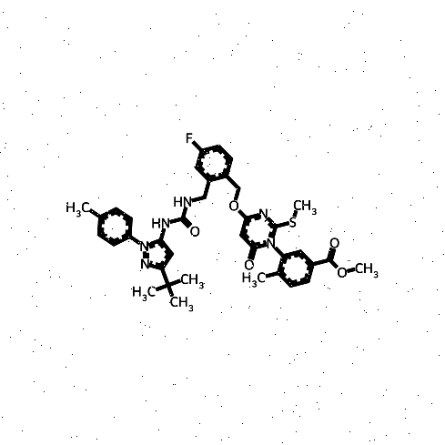 COC(=O)c1ccc(C)c(-n2c(SC)nc(OCc3ccc(F)cc3CNC(=O)Nc3cc(C(C)(C)C)nn3-c3ccc(C)cc3)cc2=O)c1